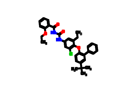 CCOc1ccccc1C(=O)NC(=O)Nc1cc(Cl)c(Oc2ccc(C(C)(C)C)cc2-c2ccccc2)c(CC)c1